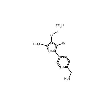 NCc1ccc(-c2sc(C(=O)O)c(OCC(=O)O)c2Br)cc1